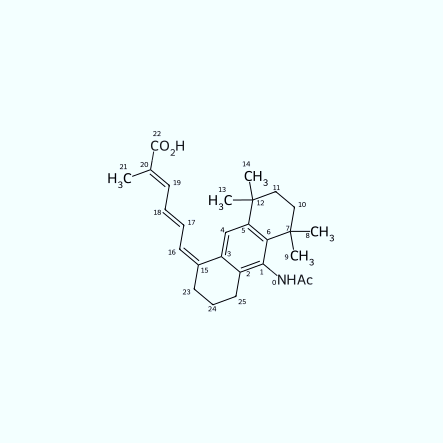 CC(=O)Nc1c2c(cc3c1C(C)(C)CCC3(C)C)/C(=C\C=CC=C(C)C(=O)O)CCC2